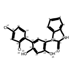 O=c1[nH]c2ccccc2n1-c1cc(-c2ccc(Cl)cc2Cl)c(O)cc1O